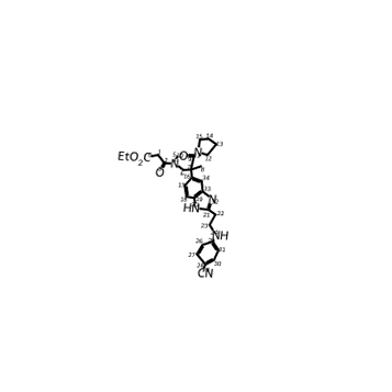 CCOC(=O)CC(=O)N(C)CC(C)(C(=O)N1CCCC1)c1ccc2[nH]c(CCNc3ccc(C#N)cc3)nc2c1